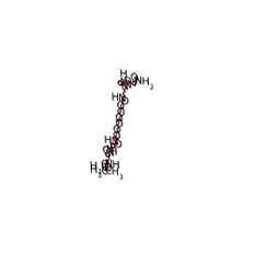 CC(C)(C)OC(=O)NCCc1ccc(O)c(/N=N/c2ccc(C(=O)NCCOCCOCCOCCOCCOCCOCCC(=O)NCCCCCn3/c(=N/C(=O)c4cccc(C(N)=O)c4)[nH]c4ccccc43)cc2)c1